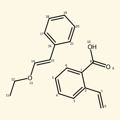 C=Cc1ccccc1C(=O)O.CCOC=Cc1ccccc1